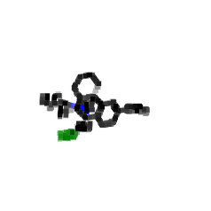 Br.COc1ccc2c(c1)[C@]13CCCC[C@@H]1[C@H](C2)N(C)CC3.[KH]